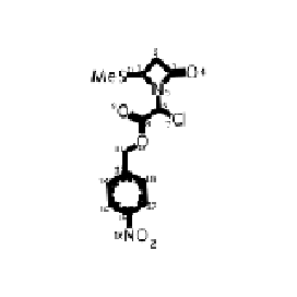 CSC1CC(=O)N1C(Cl)C(=O)OCc1ccc([N+](=O)[O-])cc1